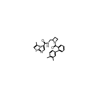 Cc1ccc(-c2ccccc2C(=O)N2CCC2CNC(=O)c2cnc3scc(C)n23)cc1C